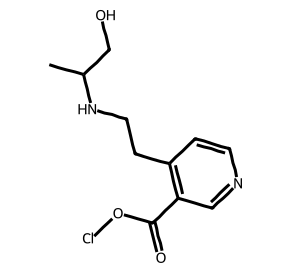 CC(CO)NCCc1ccncc1C(=O)OCl